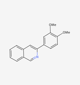 COc1ccc(-c2cc3ccccc3cn2)cc1OC